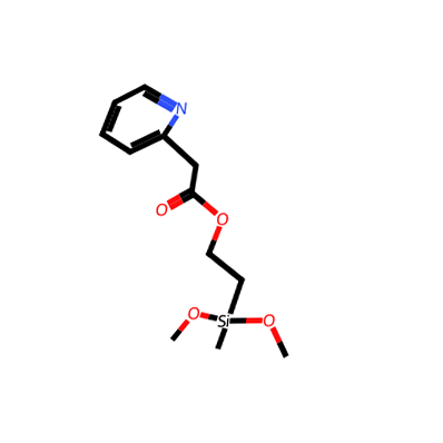 CO[Si](C)(CCOC(=O)Cc1ccccn1)OC